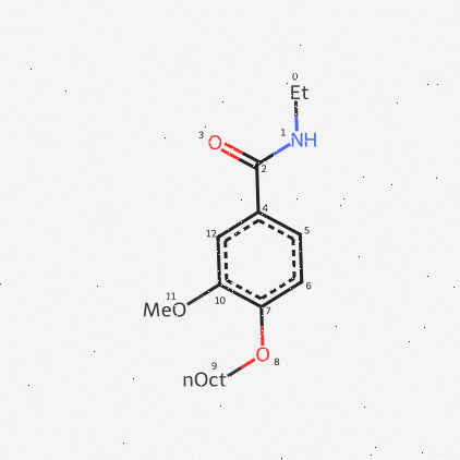 [CH2]CNC(=O)c1ccc(OCCCCCCCC)c(OC)c1